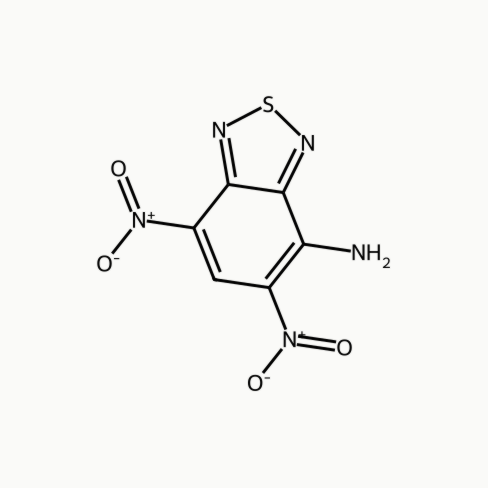 Nc1c([N+](=O)[O-])cc([N+](=O)[O-])c2nsnc12